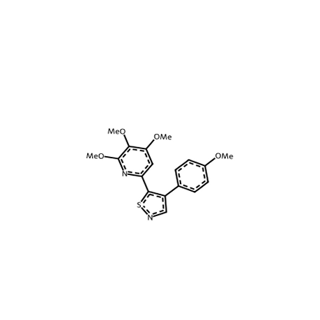 COc1ccc(-c2cnsc2-c2cc(OC)c(OC)c(OC)n2)cc1